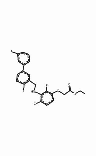 CCOC(=O)COc1ccc(Cl)c(NCc2cc(-c3cccc(F)c3)ccc2F)c1F